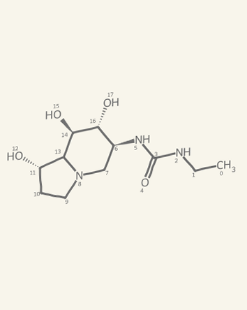 CCNC(=O)N[C@H]1CN2CC[C@H](O)C2[C@@H](O)[C@@H]1O